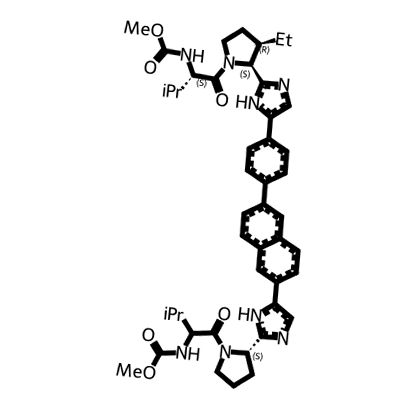 CC[C@@H]1CCN(C(=O)[C@@H](NC(=O)OC)C(C)C)[C@@H]1c1ncc(-c2ccc(-c3ccc4cc(-c5cnc([C@@H]6CCCN6C(=O)C(NC(=O)OC)C(C)C)[nH]5)ccc4c3)cc2)[nH]1